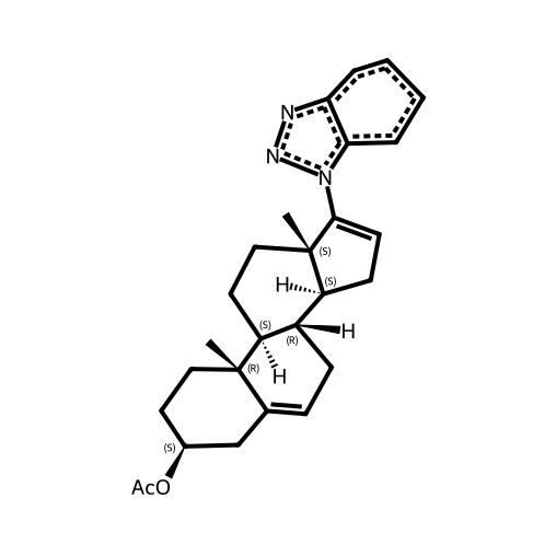 CC(=O)O[C@H]1CC[C@@]2(C)C(=CC[C@@H]3[C@@H]2CC[C@]2(C)C(n4nnc5ccccc54)=CC[C@@H]32)C1